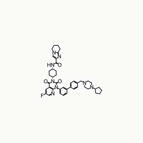 O=C(N[C@H]1CC[C@@H](n2c(=O)c3cc(F)cnc3n(-c3cccc(-c4ccc(CN5CCN(C6CCCC6)CC5)cc4)c3)c2=O)CC1)c1cn2c(n1)CCCC2